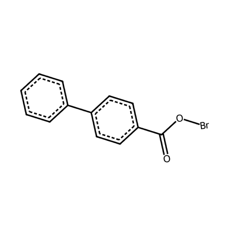 O=C(OBr)c1ccc(-c2ccccc2)cc1